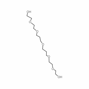 OCCOCCOCCCOCCCOCCOCCO